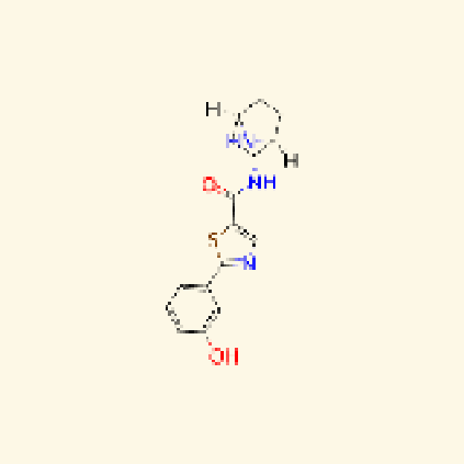 O=C(N[C@@H]1C[C@H]2CC[C@@H]1N2)c1cnc(-c2cccc(O)c2)s1